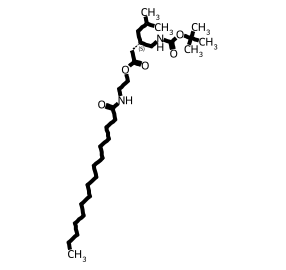 CCCCCCCCCCCCCCCC(=O)NCCOC(=O)C[C@@H](CNC(=O)OC(C)(C)C)CC(C)C